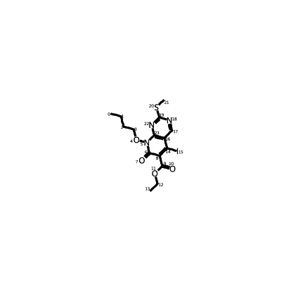 CCCCOn1c(=O)c(C(=O)OCC)c(I)c2cnc(SC)nc21